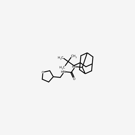 CC(C)(C)CC12CC3CC(C1)C(NC(=O)NCC1CCOC1)C(C3)C2